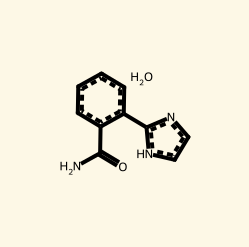 NC(=O)c1ccccc1-c1ncc[nH]1.O